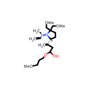 C=CN(C)N1[C@@H](C(=C)CC(O)OCCCOC)CCC1(COC)COC